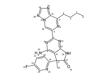 CCCCc1nc(-c2nc(N)c3c(n2)NC(=O)C3(C)c2ccc(F)cn2)cn2ncnc12